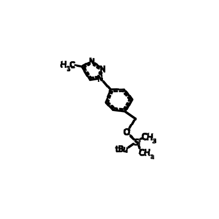 Cc1cn(-c2ccc(CO[Si](C)(C)C(C)(C)C)cc2)nn1